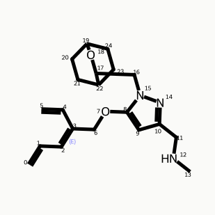 C=C/C=C(\C=C)COc1cc(CNC)nn1CC1OC2CCC1CC2